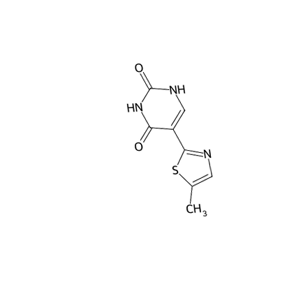 Cc1cnc(-c2c[nH]c(=O)[nH]c2=O)s1